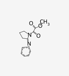 COC(=O)C(=O)N1CCCC1=Nc1ccccc1